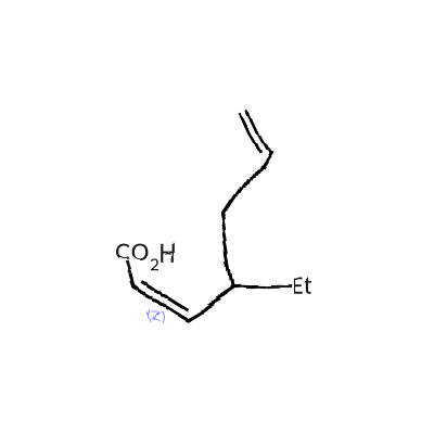 C=CCC(/C=C\C(=O)O)CC